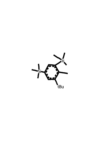 Cc1c(C(C)(C)C)cc([Si](C)(C)C)cc1[Si](C)(C)C